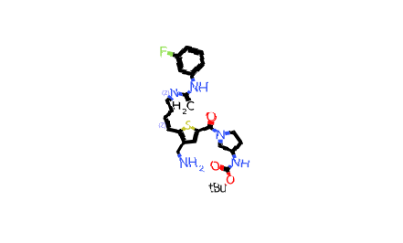 C=C(/N=C\C/C=C\c1sc(C(=O)N2CCC(NC(=O)OC(C)(C)C)C2)cc1CN)Nc1cccc(F)c1